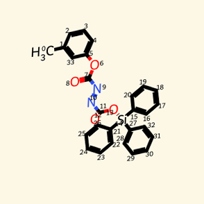 Cc1cccc(OC(=O)N=NC(=O)O[Si](c2ccccc2)(c2ccccc2)c2ccccc2)c1